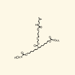 CCCCCCCCC(=O)OCCCCCCN(CCCCCCOC(=O)CCCCCCCC)C(=O)OCCSSCCOC(=O)NCCN(C)C